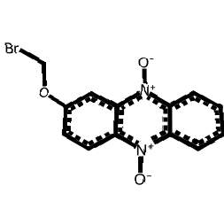 [O-][n+]1c2ccccc2[n+]([O-])c2cc(OCBr)ccc21